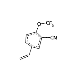 C=Cc1ccc(OC(F)(F)F)c(C#N)c1